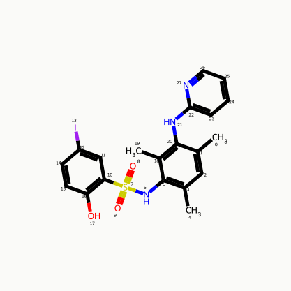 Cc1cc(C)c(NS(=O)(=O)c2cc(I)ccc2O)c(C)c1Nc1ccccn1